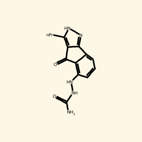 CCCc1[nH]nc2c1C(=O)c1c(NNC(N)=O)cccc1-2